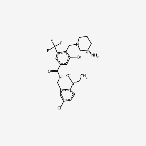 CC[S+]([O-])c1ccc(Cl)cc1CNC(=O)c1cc(Br)c(CN2CCC[C@@H](N)C2)c(C(F)(F)F)c1